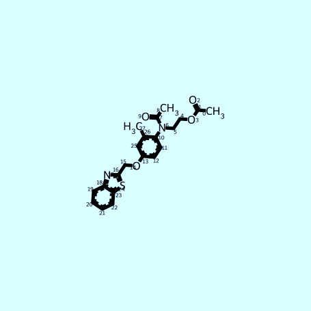 CC(=O)OCCN(C(C)=O)c1ccc(OCc2nc3ccccc3s2)cc1C